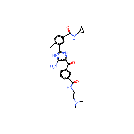 Cc1ccc(C(=O)NC2CC2)cc1-c1nc(C(=O)c2cccc(C(=O)NCCN(C)C)c2)c(N)[nH]1